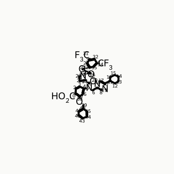 O=C(O)c1ccc(N(Cc2cnc(C3CCCCC3)cn2)C(=O)[C@H]2CCN2S(=O)(=O)c2cc(C(F)(F)F)cc(C(F)(F)F)c2)cc1OCc1ccccc1